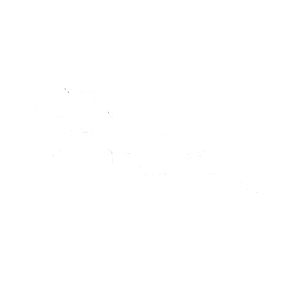 CCCCCC=C1CCC(Nc2ncnc(CC)c2Cl)CC1